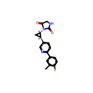 Cc1cc(-c2ccc([C@H]3C[C@@H]3N3C(=O)CNC3=O)cn2)ccc1F